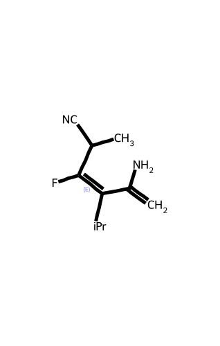 C=C(N)/C(=C(/F)C(C)C#N)C(C)C